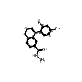 NNC(=O)c1ccc2c(c1)C(c1ccc(F)cc1F)=CCC2